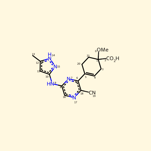 COC1(C(=O)O)CC=C(c2nc(Nc3cc(C)[nH]n3)cnc2C#N)CC1